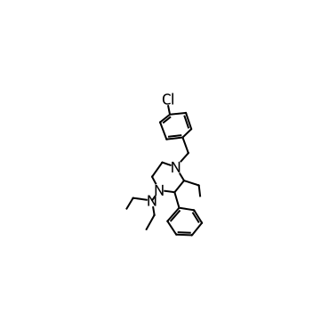 CCC1C(c2ccccc2)N(N(CC)CC)CCN1Cc1ccc(Cl)cc1